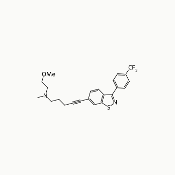 COCCN(C)CCCC#Cc1ccc2c(-c3ccc(C(F)(F)F)cc3)nsc2c1